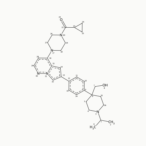 CC(C)N1CCC(CO)(c2ccc(-c3cc4c(N5CCN(C(=O)C6CC6)CC5)ccnn4c3)cc2)CC1